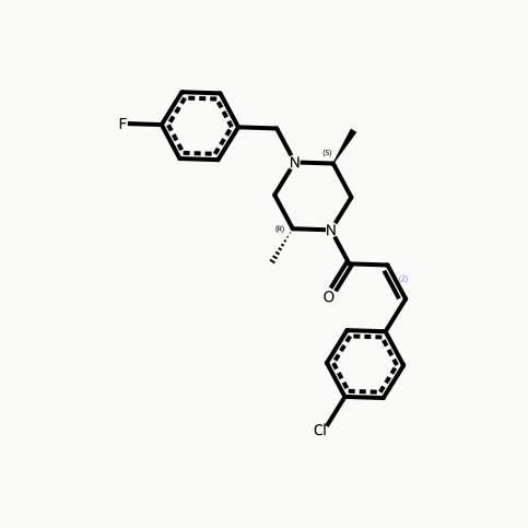 C[C@@H]1CN(Cc2ccc(F)cc2)[C@@H](C)CN1C(=O)/C=C\c1ccc(Cl)cc1